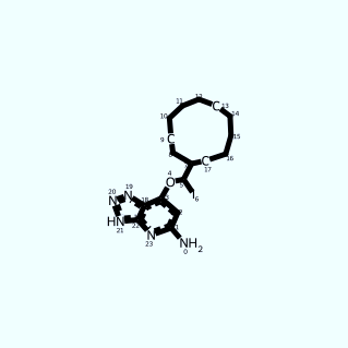 Nc1cc(OC(I)C2CCCCCCCCCC2)c2nn[nH]c2n1